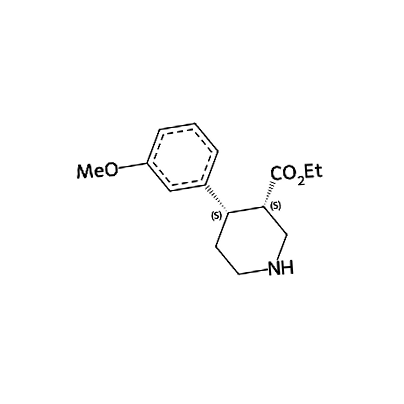 CCOC(=O)[C@@H]1CNCC[C@@H]1c1cccc(OC)c1